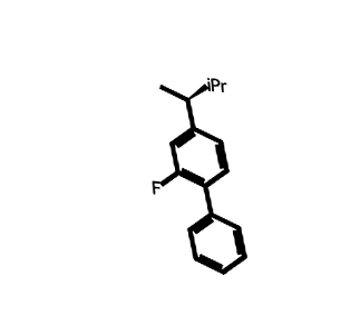 CC(C)[C@H](C)c1ccc(-c2ccccc2)c(F)c1